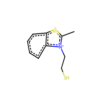 Cc1sc2ccccc2[n+]1CCS